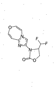 O=C1OCC(C(F)F)N1c1cn2c(n1)C=COC=C2